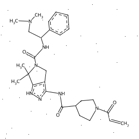 C=CC(=O)N1CCC(C(=O)Nc2n[nH]c3c2CN(C(=O)NC(CN(C)C)c2ccccc2)C3(C)C)CC1